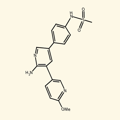 COc1ccc(-c2cc(-c3ccc(NS(C)(=O)=O)cc3)cnc2N)cn1